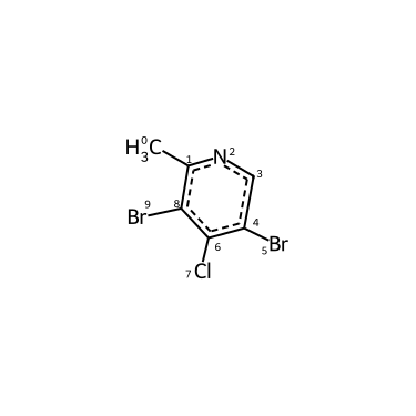 Cc1ncc(Br)c(Cl)c1Br